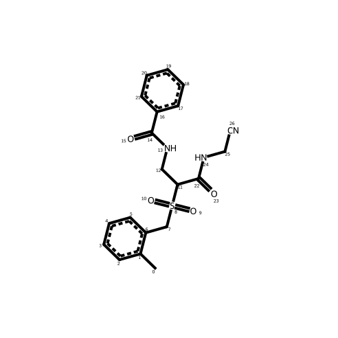 Cc1ccccc1CS(=O)(=O)C(CNC(=O)c1ccccc1)C(=O)NCC#N